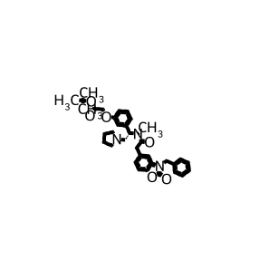 CN(C(=O)Cc1ccc2oc(=O)n(Cc3ccccc3)c2c1)[C@H](CN1CCCC1)c1cccc(OCC(=O)OC(C)(C)C)c1